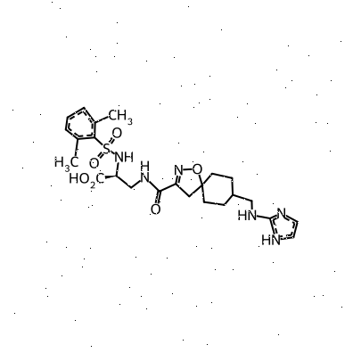 Cc1cccc(C)c1S(=O)(=O)N[C@@H](CNC(=O)C1=NOC2(CCC(CNc3ncc[nH]3)CC2)C1)C(=O)O